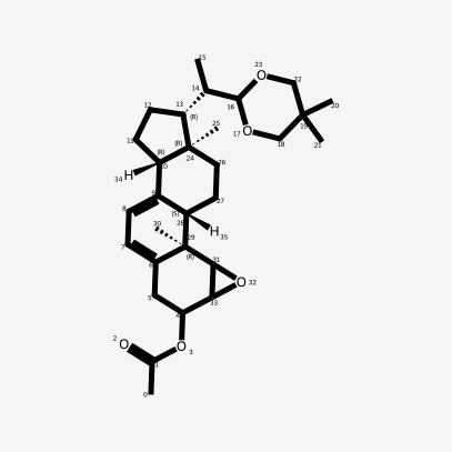 CC(=O)OC1CC2=CC=C3[C@@H]4CC[C@H](C(C)C5OCC(C)(C)CO5)[C@@]4(C)CC[C@@H]3[C@@]2(C)C2OC12